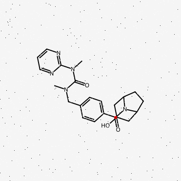 CN(Cc1ccc(C(=O)N2C3CCC2CC(O)C3)cc1)C(=O)N(C)c1ncccn1